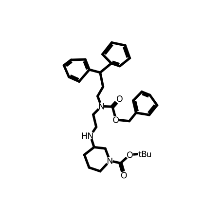 CC(C)(C)OC(=O)N1CCCC(NCCN(CCC(c2ccccc2)c2ccccc2)C(=O)OCc2ccccc2)C1